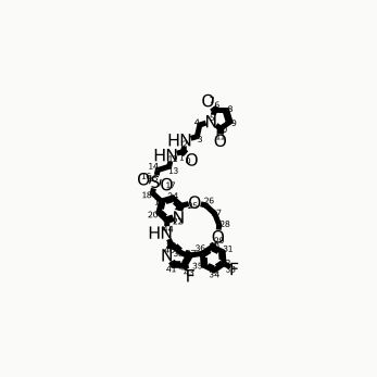 O=C(NCCN1C(=O)C=CC1=O)NCCS(=O)(=O)Cc1cc2nc(c1)OCCCOc1cc(F)ccc1-c1cc(ncc1F)N2